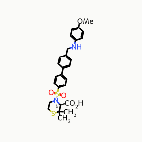 COc1ccc(NCc2ccc(-c3ccc(S(=O)(=O)N4CCSC(C)(C)[C@@H]4C(=O)O)cc3)cc2)cc1